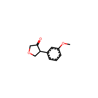 COc1cccc(C2COCC2=O)c1